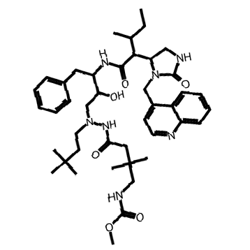 CCC(C)C(C(=O)NC(Cc1ccccc1)C(O)CN(CCC(C)(C)C)NC(=O)CC(C)(C)CNC(=O)OC)C1CNC(=O)N1Cc1ccnc2ccccc12